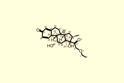 CCOCC(=O)[C@@]1(O)[C@H](C)C[C@H]2[C@@H]3CCC4=CC(=O)C=C[C@]4(C)[C@H]3[C@@H](O)C[C@@]21C